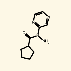 NN(C(=O)C1CCCC1)c1cnccn1